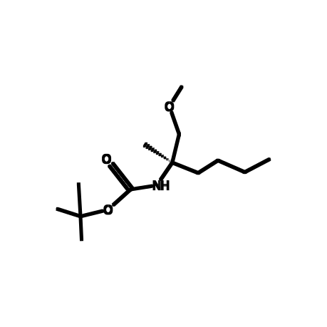 CCCC[C@](C)(COC)NC(=O)OC(C)(C)C